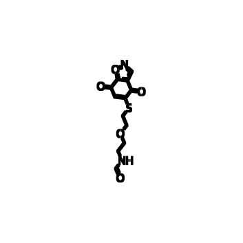 O=CNCCOCCSC1=CC(=O)c2oncc2C1=O